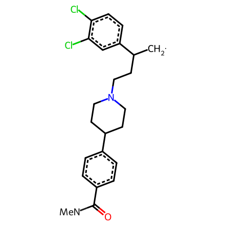 [CH2]C(CCN1CCC(c2ccc(C(=O)NC)cc2)CC1)c1ccc(Cl)c(Cl)c1